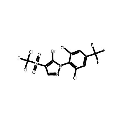 O=S(=O)(c1cnn(-c2c(Cl)cc(C(F)(F)F)cc2Cl)c1Br)C(F)(Cl)Cl